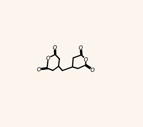 O=C1CC(CC2CC(=O)OC(=O)C2)CC(=O)O1